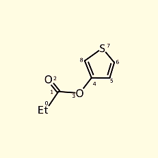 CCC(=O)Oc1ccsc1